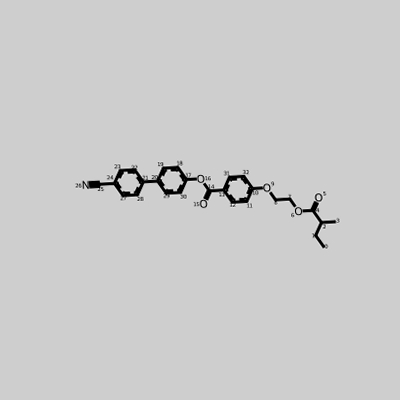 CCC(C)C(=O)OCCOc1ccc(C(=O)Oc2ccc(-c3ccc(C#N)cc3)cc2)cc1